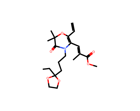 C=CC1=C(/C=C(\C)C(=O)OC)N(CCCC2(CC)OCCO2)C(=O)C(C)(C)O1